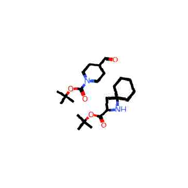 CC(C)(C)OC(=O)C1CC2(CCCCC2)N1.CC(C)(C)OC(=O)N1CCC(C=O)CC1